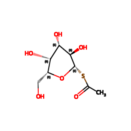 CC(=O)S[C@@H]1O[C@H](CO)[C@H](O)[C@H](O)[C@H]1O